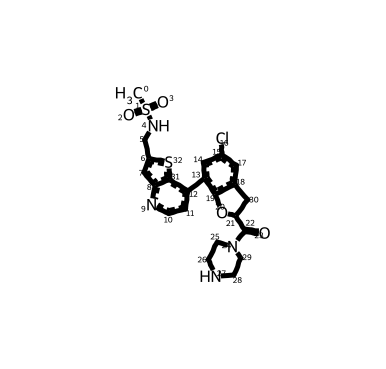 CS(=O)(=O)NCc1cc2nccc(-c3cc(Cl)cc4c3OC(C(=O)N3CCNCC3)C4)c2s1